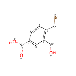 O=C(O)c1ccc(CBr)c(CO)c1